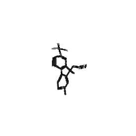 Cc1ccc2c(c1)C(C)(C=N)c1cc(C(C)(C)C)c#cc1-2